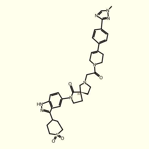 Cn1cnc(-c2ccc(C3=CCN(C(=O)CN4CC[C@]5(CCN(c6ccc7[nH]nc(C8CCS(=O)(=O)CC8)c7c6)C5=O)C4)CC3)cc2)n1